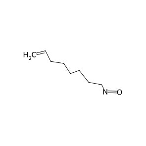 C=CCCCCCCN=O